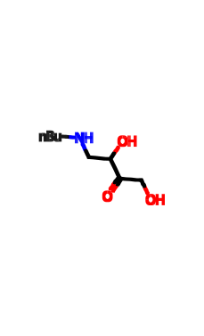 CCCCNCC(O)C(=O)CO